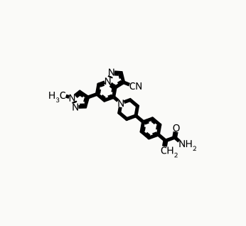 C=C(C(N)=O)c1ccc(C2CCN(c3cc(-c4cnn(C)c4)cn4ncc(C#N)c34)CC2)cc1